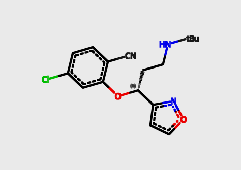 CC(C)(C)NCC[C@@H](Oc1cc(Cl)ccc1C#N)c1ccon1